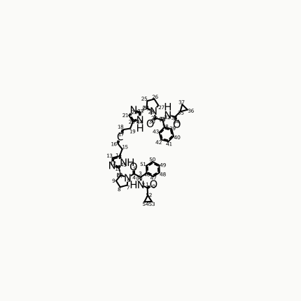 O=C(N[C@@H](C(=O)N1CCC[C@H]1c1ncc(CC=C=CCc2cnc([C@@H]3CCCN3C(=O)[C@H](NC(=O)C3CC3)c3ccccc3)[nH]2)[nH]1)c1ccccc1)C1CC1